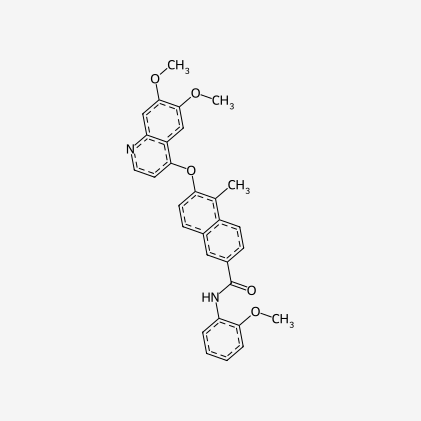 COc1ccccc1NC(=O)c1ccc2c(C)c(Oc3ccnc4cc(OC)c(OC)cc34)ccc2c1